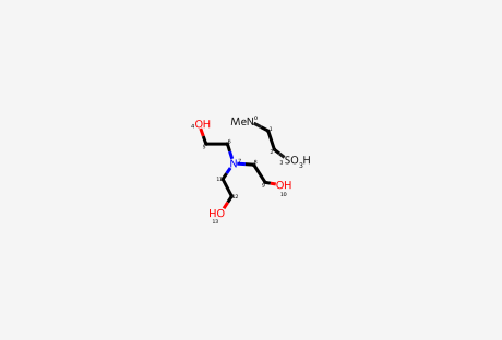 CNCCS(=O)(=O)O.OCCN(CCO)CCO